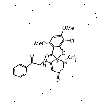 COc1cc(OC)c2c(c1Cl)O[C@]1(C2=O)C(NCC(=O)c2ccccc2)=CC(=O)C[C@H]1C